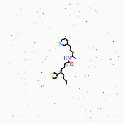 CCCC/C(=C\C=C\C(=O)NC(C)CCCc1cccnc1)c1ccsc1